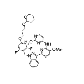 COc1cnc(-c2nn(Cc3c(F)cc(OCCCOC4CCCCO4)cc3F)c3ccccc23)nc1Nc1ccnc(C)n1